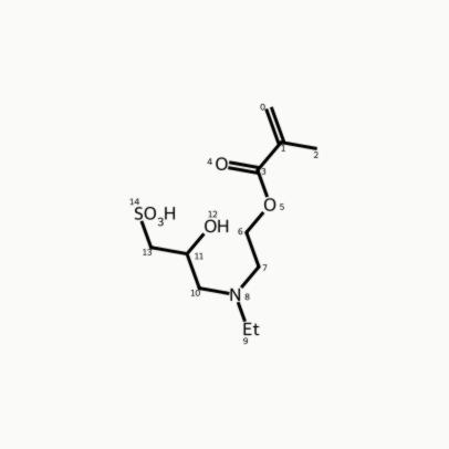 C=C(C)C(=O)OCCN(CC)CC(O)CS(=O)(=O)O